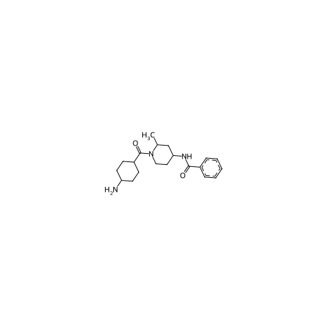 CC1CC(NC(=O)c2ccccc2)CCN1C(=O)C1CCC(N)CC1